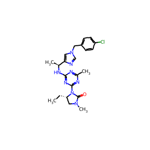 CC[C@H]1CN(C)C(=O)N1c1nc(C)nc(N[C@@H](C)c2cn(Cc3ccc(Cl)cc3)cn2)n1